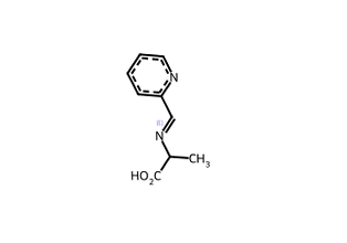 CC(/N=C/c1ccccn1)C(=O)O